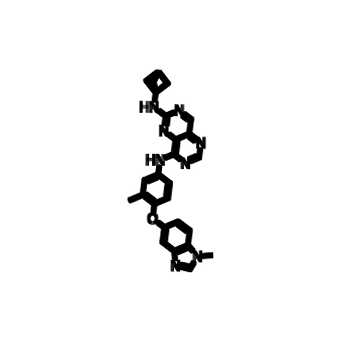 Cc1cc(Nc2ncnc3cnc(NC45CC(C4)C5)nc23)ccc1Oc1ccc2c(c1)ncn2C